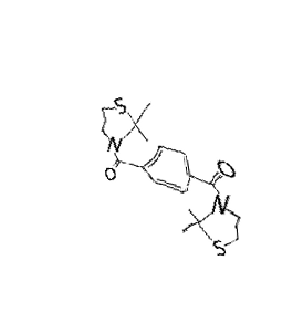 CC1(C)SCCN1C(=O)c1ccc(C(=O)N2CCSC2(C)C)cc1